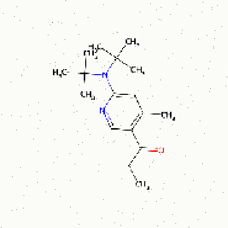 CCC(=O)c1cnc(N(C(C)(C)C)C(C)(C)C)cc1C